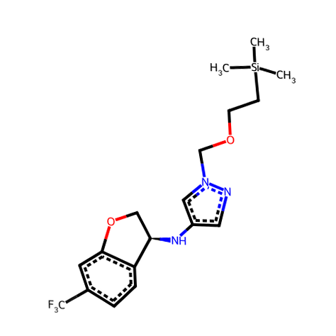 C[Si](C)(C)CCOCn1cc(N[C@@H]2COc3cc(C(F)(F)F)ccc32)cn1